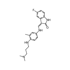 Cc1cc(NC=C2C(=O)Nc3ccc(F)cc32)ccc1NCCCN(C)C